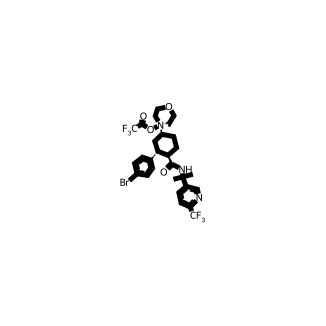 CC(C)(NC(=O)[C@@H]1CC[C@@H]([N+]2(OC(=O)C(F)(F)F)CCOCC2)C[C@H]1c1ccc(Br)cc1)c1ccc(C(F)(F)F)nc1